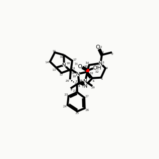 CC(=O)N1CCc2nc(C)n(C3CC4CCC(C3)N4CC[C@@H](c3ccccc3)N(C)C(=O)O)c2C1